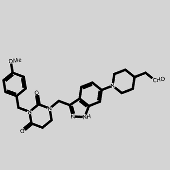 COc1ccc(CN2C(=O)CCN(Cc3n[nH]c4cc(N5CCC(CC=O)CC5)ccc34)C2=O)cc1